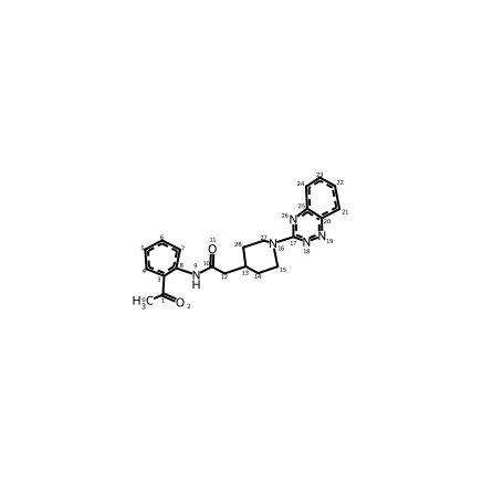 CC(=O)c1ccccc1NC(=O)CC1CCN(c2nnc3ccccc3n2)CC1